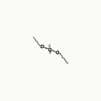 CCCCCCCCCCc1ccc(C#Cc2cc(F)c(C#Cc3ccc(CCCCCCCC)cc3)cc2F)cc1